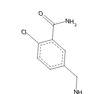 NCc1ccc(Cl)c(C(N)=O)c1